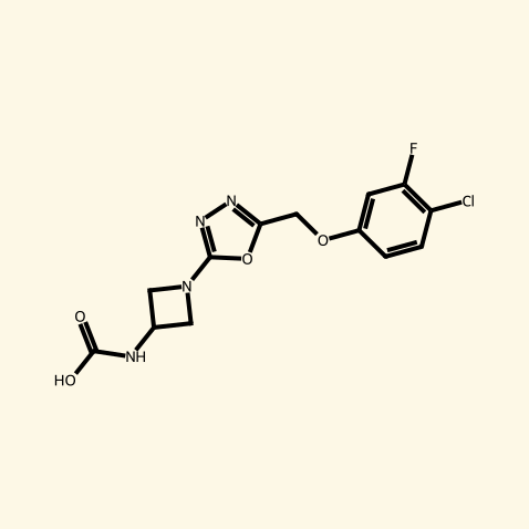 O=C(O)NC1CN(c2nnc(COc3ccc(Cl)c(F)c3)o2)C1